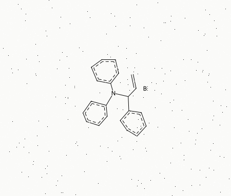 C=CC(c1ccccc1)N(c1ccccc1)c1ccccc1.[B]